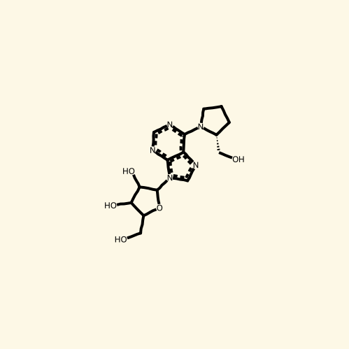 OCC1OC(n2cnc3c(N4CCC[C@@H]4CO)ncnc32)C(O)C1O